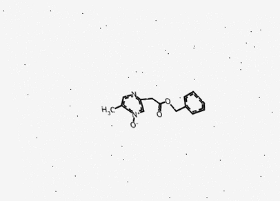 Cc1cnc(CC(=O)OCc2ccccc2)c[n+]1[O-]